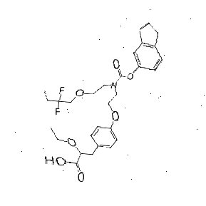 CCOC(Cc1ccc(OCCN(CCOCC(F)(F)CC)C(=O)Oc2ccc3c(c2)CCC3)cc1)C(=O)O